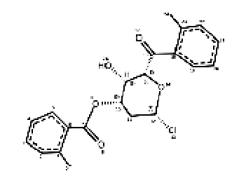 Cc1ccccc1C(=O)O[C@H]1C[C@@H](Cl)O[C@@H](C(=O)c2ccccc2C)[C@H]1O